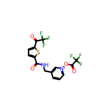 O=C(NCc1ccc[n+](OC(=O)C(F)(F)F)c1)c1ccc(C(=O)C(F)(F)F)s1